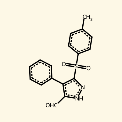 Cc1ccc(S(=O)(=O)c2n[nH]c(C=O)c2-c2ccccc2)cc1